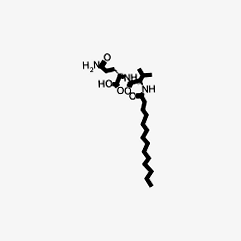 CCCCCCCCCCCCCC(=O)N[C@H](C(=O)N[C@@H](CCC(N)=O)C(=O)O)C(C)C